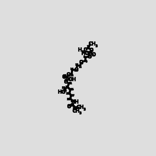 CC(C)OP(=O)(O)OCCOCCOCCOP(=O)(O)OCC(CO)CCCCNC(=O)C(C)C